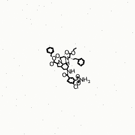 CCOC(=O)[C@H](CCc1ccccc1)N[C@@H](C)C(=O)N1C(C(=O)OCc2ccccc2)CC2CC(NC(=O)c3ccc(Cl)c(S(N)(=O)=O)c3)CCC21